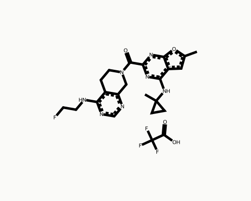 Cc1cc2c(NC3(C)CC3)nc(C(=O)N3CCc4c(ncnc4NCCF)C3)nc2o1.O=C(O)C(F)(F)F